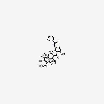 CN(C)[C@H]1C(O)=C(C(N)=O)C(=O)[C@]2(O)C(O)=C3C(=O)c4c(O)ccc(/C=C(\Cl)C5=CCCCC5)c4C[C@@H]3C[C@H]12